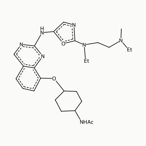 CCN(C)CCN(CC)c1ncc(Nc2ncc3cccc(OC4CCC(NC(C)=O)CC4)c3n2)o1